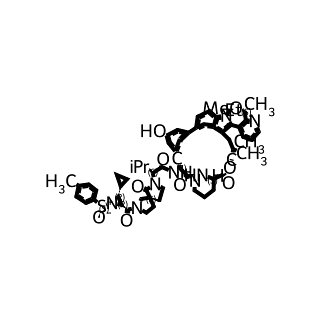 CCn1c(-c2cccnc2[C@H](C)OC)c2c3cc(ccc31)-c1cc(O)cc(c1)C[C@H](NC(=O)[C@H](C(C)C)N1CC[C@]3(CCN(C(=O)[C@H]4[C@@H](C5CC5)N4[S@+]([O-])c4ccc(C)cc4)C3)C1=O)C(=O)N1CCC[C@H](N1)C(=O)OCC(C)(C)C2